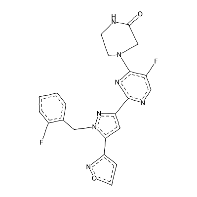 O=C1CN(c2nc(-c3cc(-c4ccon4)n(Cc4ccccc4F)n3)ncc2F)CCN1